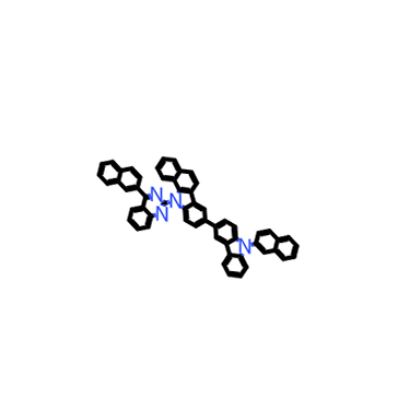 c1ccc2cc(-c3nc(-n4c5ccc(-c6ccc7c(c6)c6ccccc6n7-c6ccc7ccccc7c6)cc5c5ccc6ccccc6c54)nc4ccccc34)ccc2c1